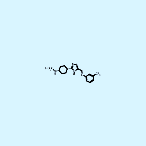 Cn1c(COc2cccc(C(F)(F)F)c2)nnc1[C@H]1CC[C@H](NC(=O)O)CC1